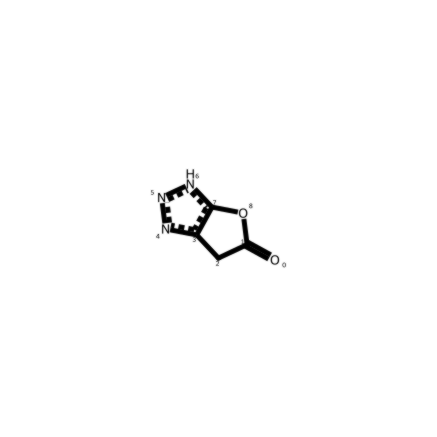 O=C1Cc2nn[nH]c2O1